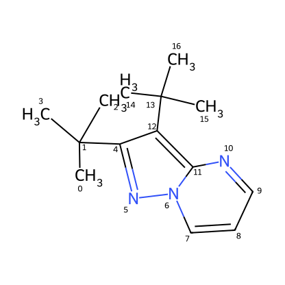 CC(C)(C)c1nn2cccnc2c1C(C)(C)C